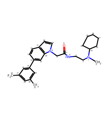 CN(CCNC(=O)Cn1ccc2ccc(-c3cc(C(F)(F)F)cc(C(F)(F)F)c3)cc21)C1CCCCC1